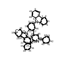 C1=CC2c3ccccc3N(c3ccc(-n4c5ccccc5c5ccccc54)c(-c4cc(-c5ccccc5)nc(-c5ccccc5)c4)c3)C2C=C1